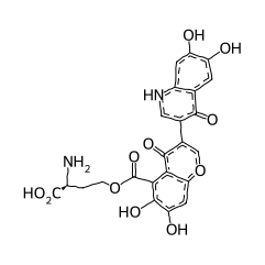 N[C@@H](CCOC(=O)c1c(O)c(O)cc2occ(-c3c[nH]c4cc(O)c(O)cc4c3=O)c(=O)c12)C(=O)O